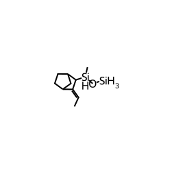 CC=C1C2CCC(C2)C1[SiH](C)O[SiH3]